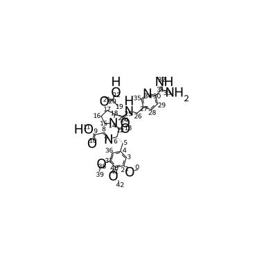 COc1cc(C[C@H](N=CC(=O)O)C(=O)N2CCC[C@@]2(CC(=O)O)C(=O)NCc2ccc(C(=N)N)nc2)cc(OC)c1OC